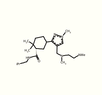 CNCCN(C)Cc1cn(C)nc1C1CCC(C)(C)[C@@H](C(=O)NCC(C)C)C1